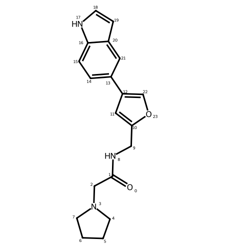 O=C(CN1CCCC1)NCc1cc(-c2ccc3[nH]ccc3c2)co1